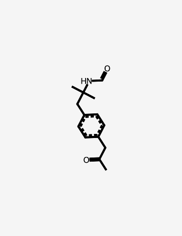 CC(=O)Cc1ccc(CC(C)(C)NC=O)cc1